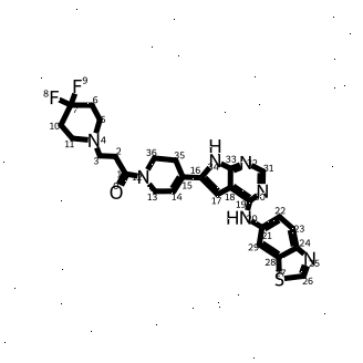 O=C(CCN1CCC(F)(F)CC1)N1CC=C(c2cc3c(Nc4ccc5ncsc5c4)ncnc3[nH]2)CC1